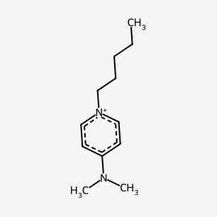 CCCCC[n+]1ccc(N(C)C)cc1